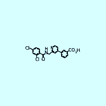 O=C(O)c1cccc(-c2ccnc(CNC(=O)c3ccc(Cl)cc3Cl)c2)c1